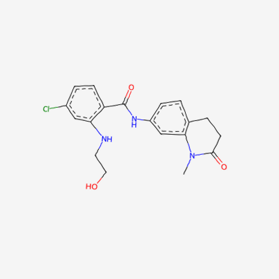 CN1C(=O)CCc2ccc(NC(=O)c3ccc(Cl)cc3NCCO)cc21